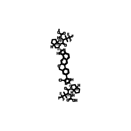 COC(=O)N[C@H](C(=O)N1[C@H](c2nc3ccc4cc5c(cc4c3[nH]2)OCc2cc(-c3[nH]c([C@@H]4C[C@@H]6CCC[C@@H]6N4C(=O)[C@@H](NC(=O)O)C(C)(C)C(F)(F)F)nc3Cl)ccc2-5)C[C@@H]2CCC[C@@H]21)C(C)(C)C(F)(F)F